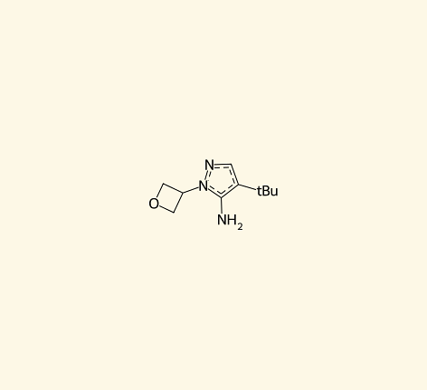 CC(C)(C)c1cnn(C2COC2)c1N